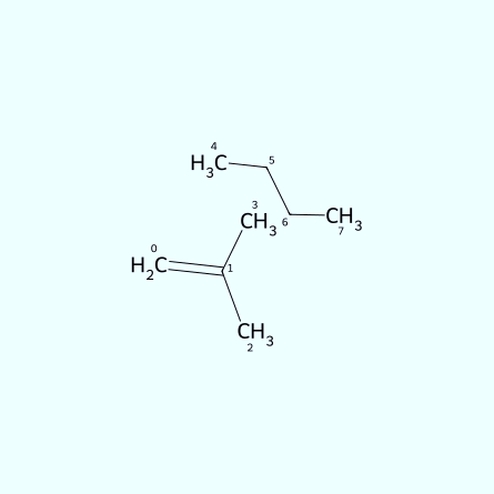 C=C(C)C.CCCC